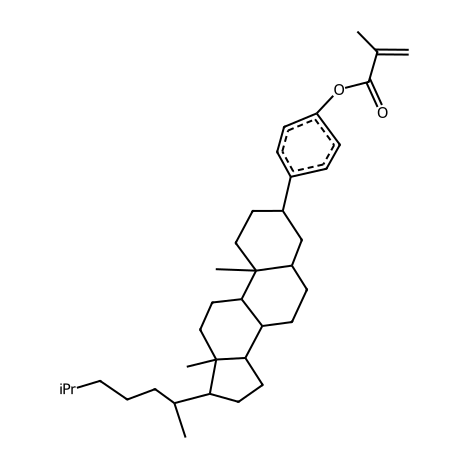 C=C(C)C(=O)Oc1ccc(C2CCC3(C)C(CCC4C3CCC3(C)C(C(C)CCCC(C)C)CCC43)C2)cc1